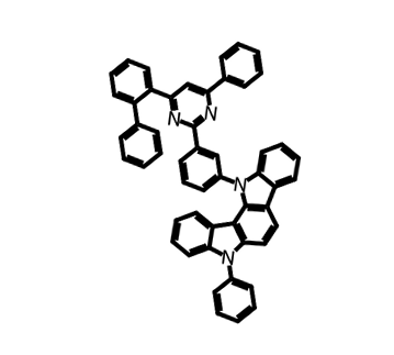 c1ccc(-c2cc(-c3ccccc3-c3ccccc3)nc(-c3cccc(-n4c5ccccc5c5ccc6c(c7ccccc7n6-c6ccccc6)c54)c3)n2)cc1